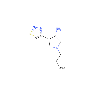 COCCN1CC(N)C(c2csnn2)C1